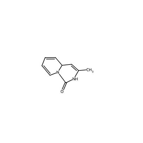 CC1=CC2C=CC=CN2C(=O)N1